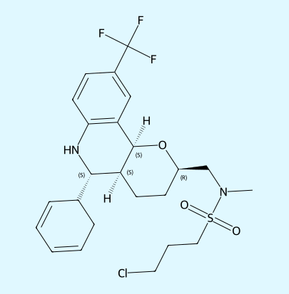 CN(C[C@H]1CC[C@@H]2[C@H](O1)c1cc(C(F)(F)F)ccc1N[C@H]2C1C=CC=CC1)S(=O)(=O)CCCCl